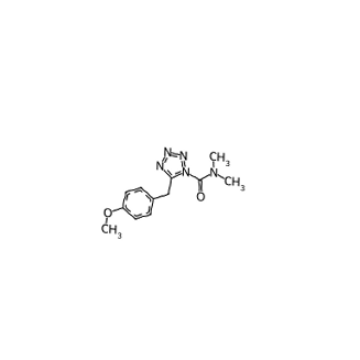 COc1ccc(Cc2nnnn2C(=O)N(C)C)cc1